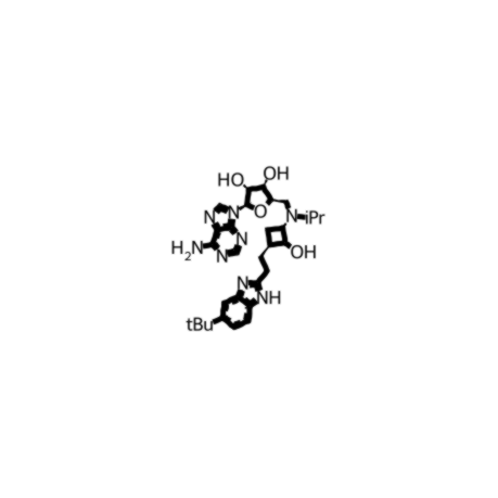 CC(C)N(C[C@H]1O[C@@H](n2cnc3c(N)ncnc32)[C@H](O)[C@@H]1O)[C@H]1C[C@H](CCc2nc3cc(C(C)(C)C)ccc3[nH]2)C1O